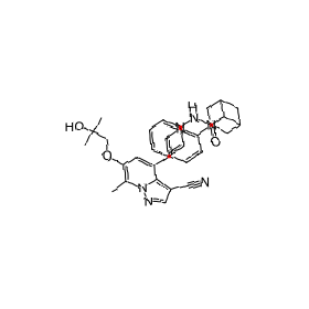 Cc1c(OCC(C)(C)O)cc(-c2ccc(N3CC4CC(C3)C4C(=O)Nc3ccccc3)nc2)c2c(C#N)cnn12